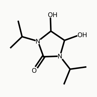 CC(C)N1C(=O)N(C(C)C)C(O)C1O